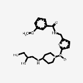 COc1cccc(C(=O)NCc2ccc([S+]([O-])N3CCC(NCC(O)CO)CC3)s2)c1